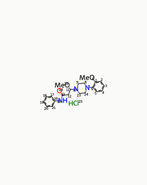 COc1ccccc1N1CCN(C(CC(=O)Nc2ccccc2)OC)CC1.Cl